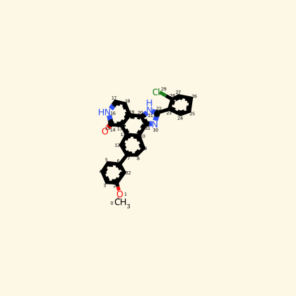 COc1cccc(-c2ccc3c(c2)c2c(=O)[nH]ccc2c2[nH]c(-c4ccccc4Cl)nc32)c1